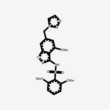 COc1cccc(OC)c1S(=O)(=O)Nc1noc2cc(Cn3ccnn3)cc(OC)c12